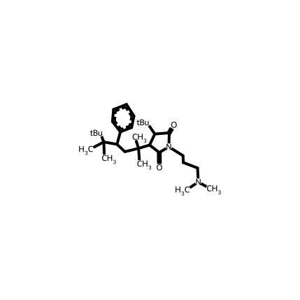 CN(C)CCCN1C(=O)C(C(C)(C)C)C(C(C)(C)CC(c2ccccc2)C(C)(C)C(C)(C)C)C1=O